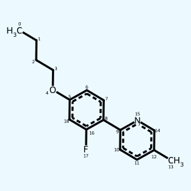 CCCCOc1ccc(-c2ccc(C)cn2)c(F)c1